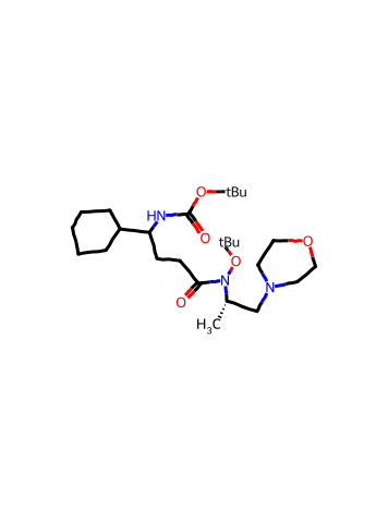 C[C@@H](CN1CCOCC1)N(OC(C)(C)C)C(=O)CCC(NC(=O)OC(C)(C)C)C1CCCCC1